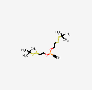 C#CP(OCCSSC(C)(C)C)OCCSSC(C)(C)C